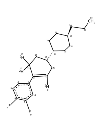 [2H]C1=C(c2ccc(F)c(F)c2)C([2H])([2H])CC([C@H]2CC[C@H](CCC)CC2)C1